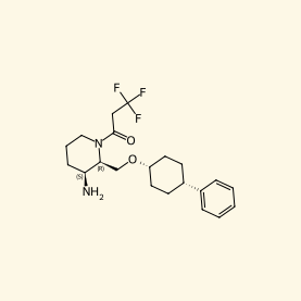 N[C@H]1CCCN(C(=O)CC(F)(F)F)[C@H]1CO[C@H]1CC[C@@H](c2ccccc2)CC1